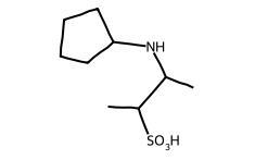 CC(NC1CCCC1)C(C)S(=O)(=O)O